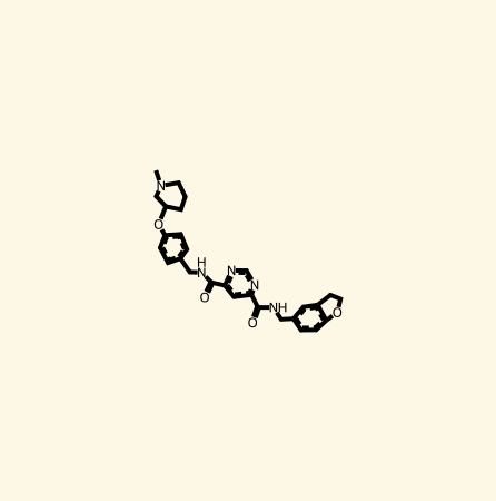 CN1CCCC(Oc2ccc(CNC(=O)c3cc(C(=O)NCc4ccc5c(c4)CCO5)ncn3)cc2)C1